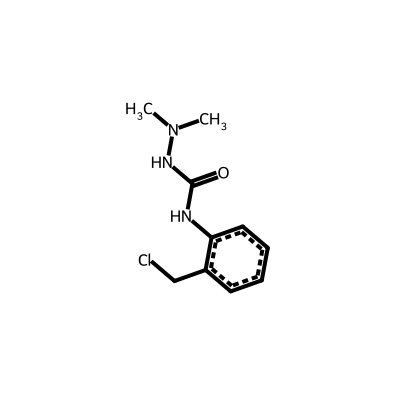 CN(C)NC(=O)Nc1ccccc1CCl